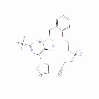 C#CCCC1(CCOc2ccccc2Cn2nnc3c(N4CCC(F)(F)C4)nc(C(C)(C)C)nc32)N=N1